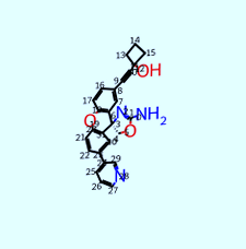 NC1=N[C@]2(CO1)c1cc(C#CC3(O)CCC3)ccc1Oc1ccc(-c3cccnc3)cc12